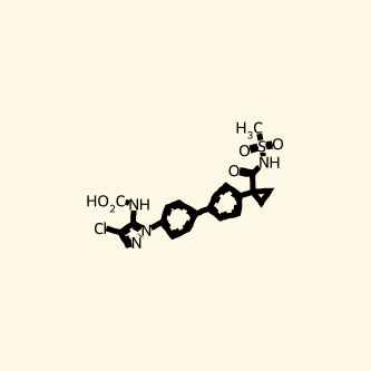 CS(=O)(=O)NC(=O)C1(c2ccc(-c3ccc(-n4ncc(Cl)c4NC(=O)O)cc3)cc2)CC1